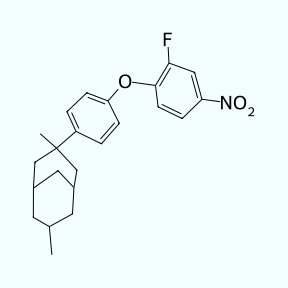 CC1CC2CC(C1)CC(C)(c1ccc(Oc3ccc([N+](=O)[O-])cc3F)cc1)C2